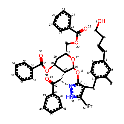 Cc1cc(/C=C/CCO)ccc1Cc1c(O[C@@H]2O[C@H](COC(=O)c3ccccc3)C[C@H](OC(=O)c3ccccc3)[C@H]2CC(=O)c2ccccc2)n[nH]c1C(C)C